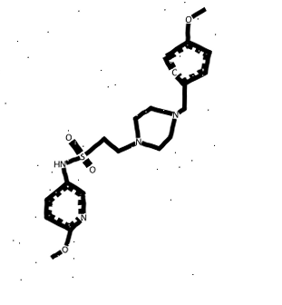 COc1ccc(CN2CCN(CCS(=O)(=O)Nc3ccc(OC)nc3)CC2)cc1